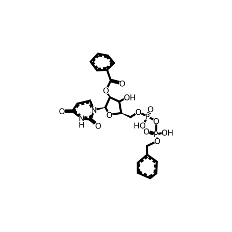 O=C(O[C@H]1C(O)[C@@H](COP(=O)(O)OP(=O)(O)OCc2ccccc2)O[C@H]1n1ccc(=O)[nH]c1=O)c1ccccc1